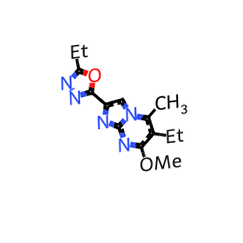 CCc1nnc(-c2cn3c(C)c(CC)c(OC)nc3n2)o1